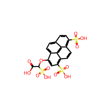 O=C(O)C(Oc1cc(S(=O)(=O)O)c2ccc3c(S(=O)(=O)O)ccc4ccc1c2c43)S(=O)(=O)O